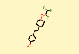 COc1ccc(C=Cc2ccc(OC(F)=C(F)F)cc2)cc1